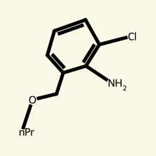 CCCOCc1cccc(Cl)c1N